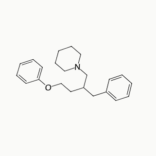 c1ccc(CC(CCOc2ccccc2)CN2CCCCC2)cc1